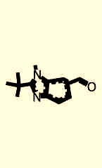 Cn1c(C(C)(C)C)nc2ccc(C=O)cc21